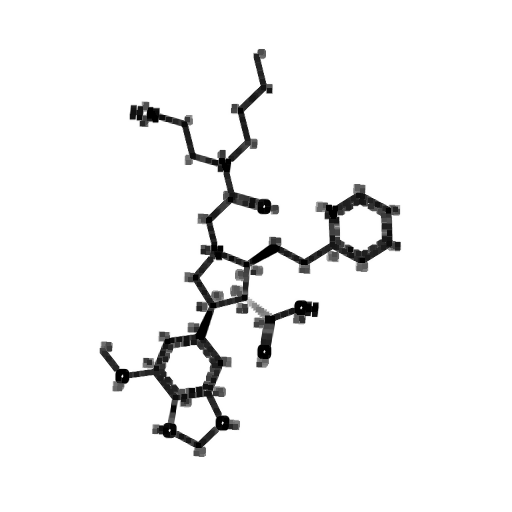 CCCCN(CCN)C(=O)CN1C[C@H](c2cc(OC)c3c(c2)OCO3)[C@@H](C(=O)O)[C@@H]1CCc1ccccn1